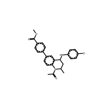 COC(=O)c1ccc(-c2ccc3c(c2)C(Nc2ccc(Cl)cc2)CC(C)N3C(C)=O)cc1